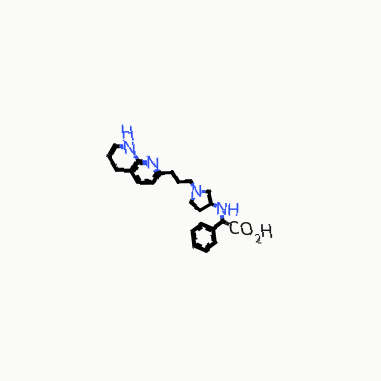 O=C(O)C(NC1CCN(CCCc2ccc3c(n2)NCCC3)C1)c1ccccc1